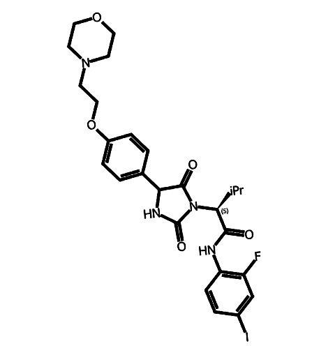 CC(C)[C@@H](C(=O)Nc1ccc(I)cc1F)N1C(=O)NC(c2ccc(OCCN3CCOCC3)cc2)C1=O